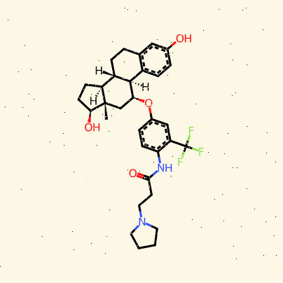 C[C@]12C[C@H](Oc3ccc(NC(=O)CCN4CCCC4)c(C(F)(F)F)c3)[C@@H]3c4ccc(O)cc4CC[C@H]3[C@@H]1CC[C@@H]2O